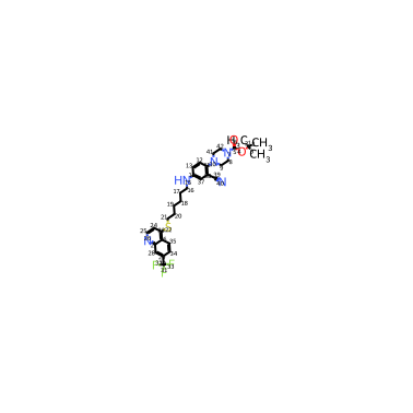 CC(C)(C)OC(=O)N1CCN(c2ccc(NCCCCCCSc3ccnc4cc(C(F)(F)F)ccc34)cc2C#N)CC1